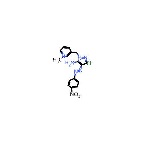 C[n+]1cccc(Cn2ncc(N=Nc3ccc([N+](=O)[O-])cc3)c2N)c1.[Cl-]